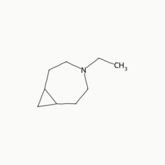 CCN1CCC2CC2CC1